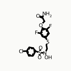 NC(=O)COc1c(F)cc(SCCN(O)S(=O)(=O)c2ccc(Cl)cc2)cc1F